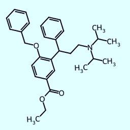 CCOC(=O)c1ccc(OCc2ccccc2)c(C(CCN(C(C)C)C(C)C)c2ccccc2)c1